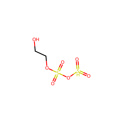 O=[SH](=O)OS(=O)(=O)OCCO